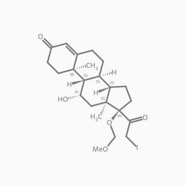 COCO[C@]1(C(=O)CI)CC[C@H]2[C@@H]3CCC4=CC(=O)CC[C@]4(C)[C@H]3[C@@H](O)C[C@@]21C